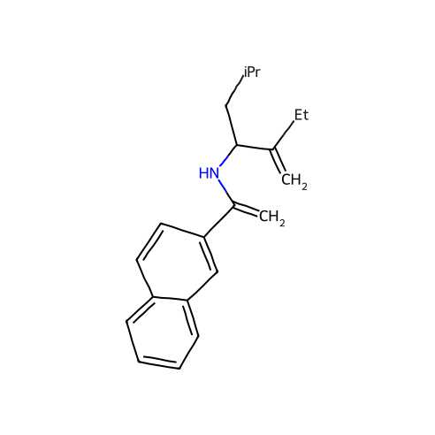 C=C(NC(CC(C)C)C(=C)CC)c1ccc2ccccc2c1